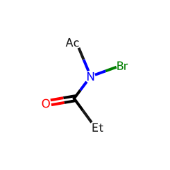 CCC(=O)N(Br)C(C)=O